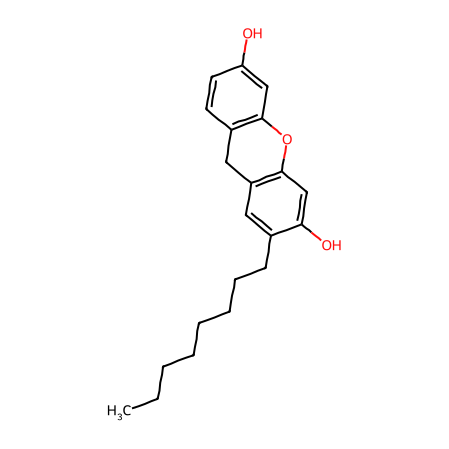 CCCCCCCCc1cc2c(cc1O)Oc1cc(O)ccc1C2